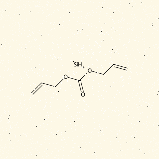 C=CCOC(=O)OCC=C.[SiH4]